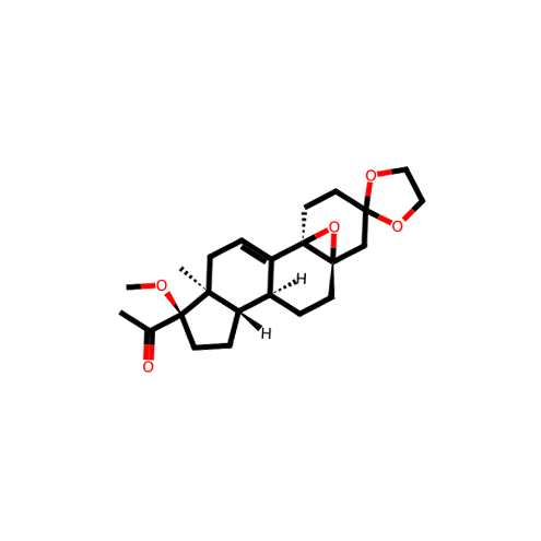 CO[C@]1(C(C)=O)CC[C@H]2[C@@H]3CC[C@@]45CC6(CC[C@@]4(O5)C3=CC[C@@]21C)OCCO6